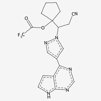 N#CCC(n1cc(-c2ncnc3[nH]ccc23)cn1)C1(OC(=O)C(F)(F)F)CCCC1